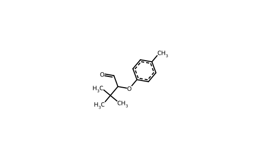 Cc1ccc(OC(C=O)C(C)(C)C)cc1